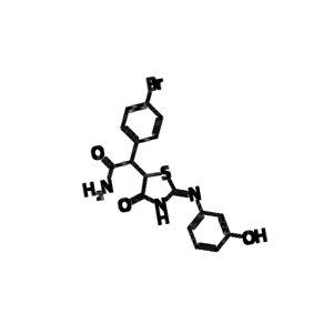 NC(=O)C(c1ccc(Br)cc1)C1SC(=Nc2cccc(O)c2)NC1=O